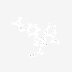 Cc1ccccc1-n1nc(CO)cc1-c1cccc(OC2CC2)c1